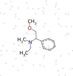 CCN(C)C(COC)c1ccccc1